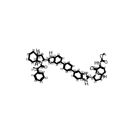 COC(=O)NC1=CC[C@H]2CC[C@@H](c3nc4cc(-c5ccc(-c6ccc7[nH]c([C@@H]8C[C@H]9CCCC[C@H]9N8C(=O)[C@H](C)c8ccccc8)nc7c6)cc5)ccc4[nH]3)N2C1=O